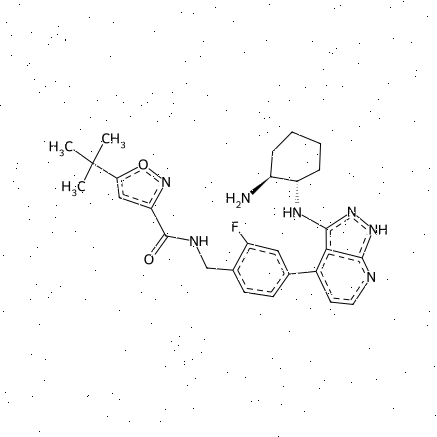 CC(C)(C)c1cc(C(=O)NCc2ccc(-c3ccnc4[nH]nc(N[C@H]5CCCC[C@@H]5N)c34)cc2F)no1